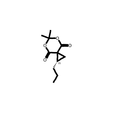 CCC[C@H]1CC12C(=O)OC(C)(C)OC2=O